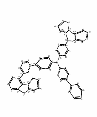 c1ccc(-c2ccc(N(c3ccc(-c4cccc(-c5cccc6oc7ccccc7c56)c4)cc3)c3ccc(-n4c5ccccc5c5ccccc54)cc3)cc2)cc1